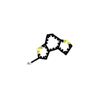 [CH2]C(=O)c1cc2c(ccc3sccc32)s1